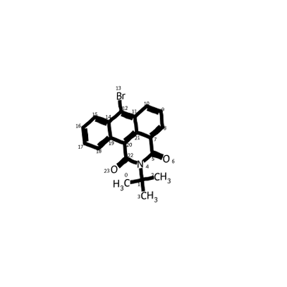 CC(C)(C)N1C(=O)c2cccc3c(Br)c4ccccc4c(c23)C1=O